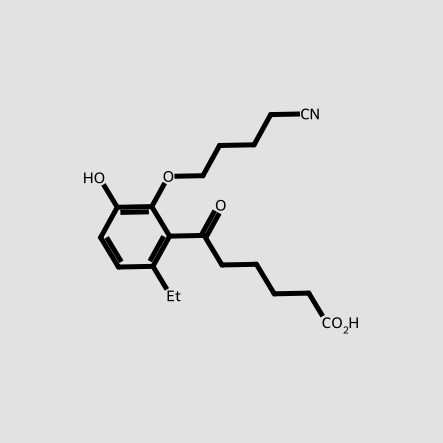 CCc1ccc(O)c(OCCCCC#N)c1C(=O)CCCCC(=O)O